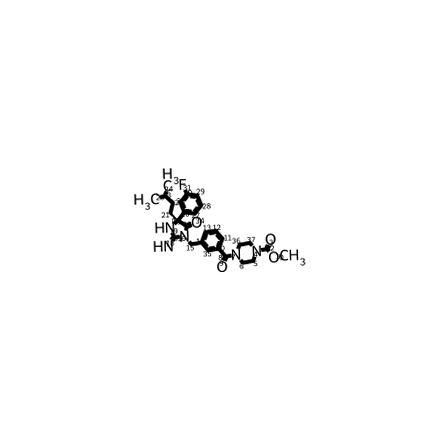 COC(=O)N1CCN(C(=O)c2cccc(CN3C(=N)N[C@](CCC(C)C)(c4cccc(F)c4)C3=O)c2)CC1